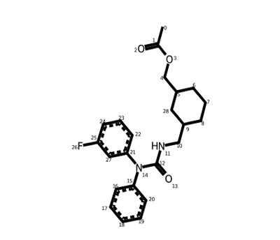 CC(=O)OCC1CCCC(CNC(=O)N(c2ccccc2)c2cccc(F)c2)C1